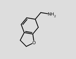 NCC1C=CC2=C(C1)OCC2